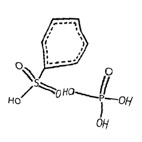 O=P(O)(O)O.O=S(=O)(O)c1ccccc1